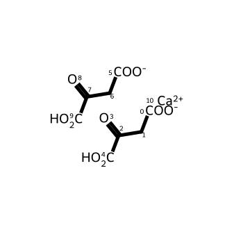 O=C([O-])CC(=O)C(=O)O.O=C([O-])CC(=O)C(=O)O.[Ca+2]